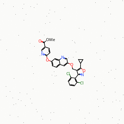 COC(=O)c1ccc(Oc2ccc3cc(OCc4c(-c5c(Cl)cccc5Cl)noc4C4CC4)cnc3c2)nc1